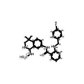 CC1(C)CNC(NC(=O)O)c2cc(NC(=O)c3cccnc3NCc3ccc(F)cn3)ccc21